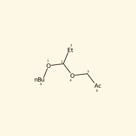 CCCCOC(CC)OCC(C)=O